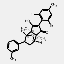 CCc1cc(C)cc(CC)c1C1=C(O)[C@]2(C)[C@@H]3O[C@@H](CC3c3cccc(C)c3)[C@]2(C)C1=O